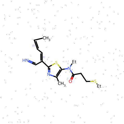 C/C=C\C=C(/C=N)c1nc(C)c(N(CC)C(=O)CCSCC)s1